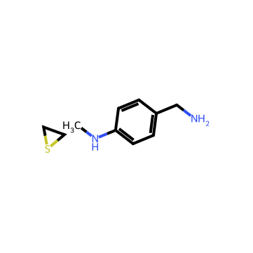 C1CS1.CNc1ccc(CN)cc1